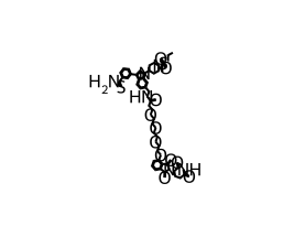 CCCS(=O)(=O)N1CCC(n2cc(-c3cccc(C(N)=S)c3)c3ccc(CNC(=O)CCOCCOCCOCCOc4cccc5c4C(=O)N(C4CCC(=O)NC4=O)C5=O)cc32)CC1